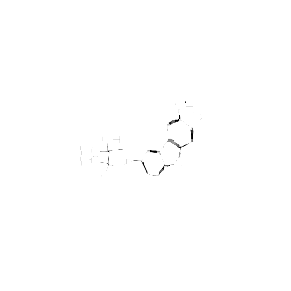 Cc1ccc2sc3ccc(B4CC(C)(C)C(C)(C)C4)cc3c2c1